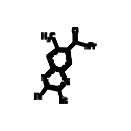 CCCC(=O)c1cc2nc(CC)c(CC)nc2cc1C